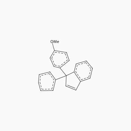 COc1ccc(C2(c3ccccc3)C=Cc3ccccc32)cc1